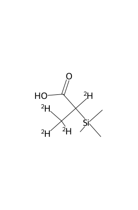 [2H]C([2H])([2H])C([2H])(C(=O)O)[Si](C)(C)C